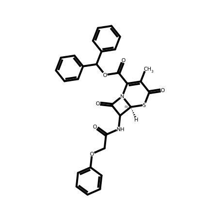 CC1=C(C(=O)OC(c2ccccc2)c2ccccc2)N2C(=O)C(NC(=O)COc3ccccc3)[C@@H]2SC1=O